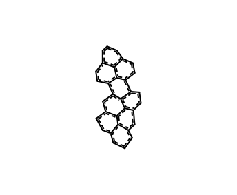 c1cc2ccc3c4ccc5cc6cccc7ccc8cc(c9ccc(c1)c2c39)c4c5c8c76